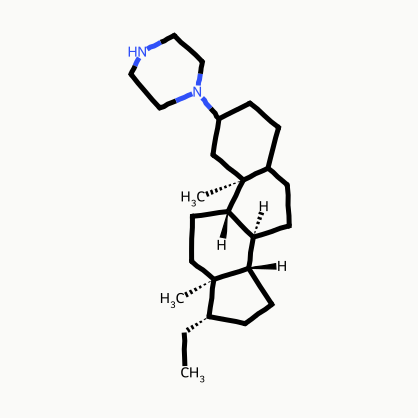 CC[C@H]1CC[C@H]2[C@@H]3CCC4CCC(N5CCNCC5)C[C@]4(C)[C@H]3CC[C@]12C